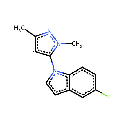 Cc1[c]c(-n2ccc3cc(F)ccc32)n(C)n1